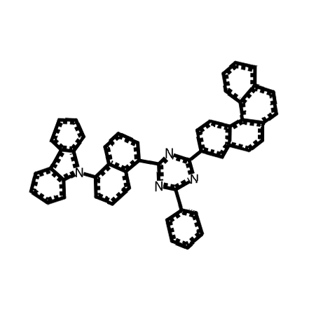 c1ccc(-c2nc(-c3ccc4c(ccc5ccc6ccccc6c54)c3)nc(-c3cccc4c(-n5c6ccccc6c6ccccc65)cccc34)n2)cc1